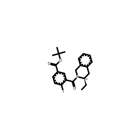 CC[C@@H]1Cc2ccccc2CN1C(=O)c1cc(C(=O)OC(C)(C)C)ccc1I